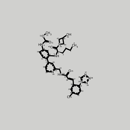 CCCC[C@@H](Nc1cc(NC(=O)OC)ccc1-c1ccnc(CNC(=O)/C=C/c2cc(Cl)ccc2-n2cnnn2)c1)C(=O)N1CC(O)C1